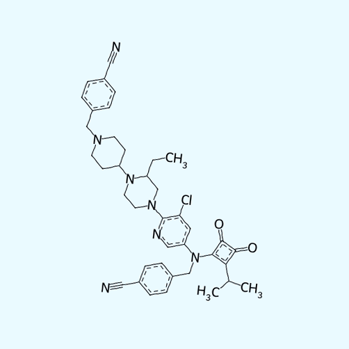 CCC1CN(c2ncc(N(Cc3ccc(C#N)cc3)c3c(C(C)C)c(=O)c3=O)cc2Cl)CCN1C1CCN(Cc2ccc(C#N)cc2)CC1